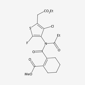 CCOC(=O)Cc1sc(F)c(N(C(=O)CC)C(=O)C2=C(C(=O)OC)CCCC2)c1Cl